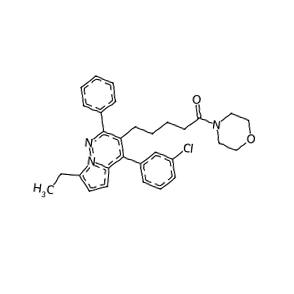 CCc1ccc2c(-c3cccc(Cl)c3)c(CCCCC(=O)N3CCOCC3)c(-c3ccccc3)nn12